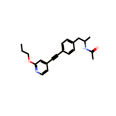 CCCOc1cc(C#Cc2ccc(CC(C)NC(C)=O)cc2)ccn1